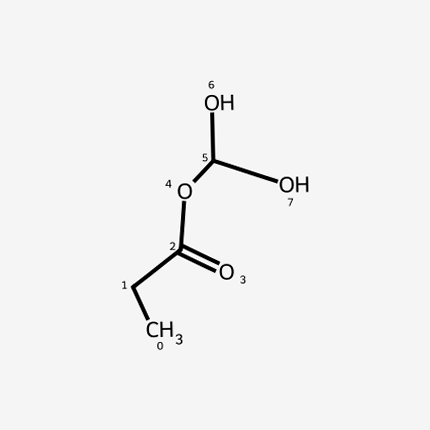 CCC(=O)OC(O)O